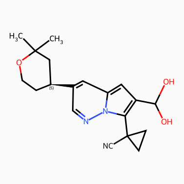 CC1(C)C[C@@H](c2cnn3c(C4(C#N)CC4)c(C(O)O)cc3c2)CCO1